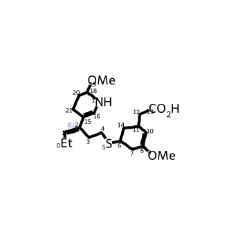 CC/C=C(\CCSC1CC(OC)=CC(CC(=O)O)C1)C1=CNC(OC)CC1